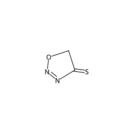 S=C1CON=N1